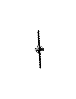 CCCCCCCCCCCCCCOC(=O)CCC(=O)OCCCCCCCCCCCCCC.[NaH].[NaH]